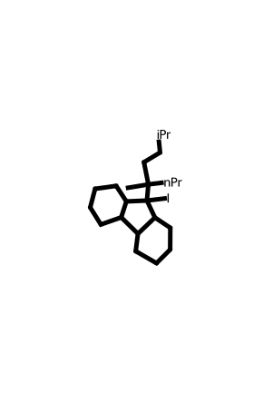 CCCC(C)(CCC(C)C)C1(I)C2CCCCC2C2CCCCC21